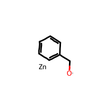 [O]Cc1ccccc1.[Zn]